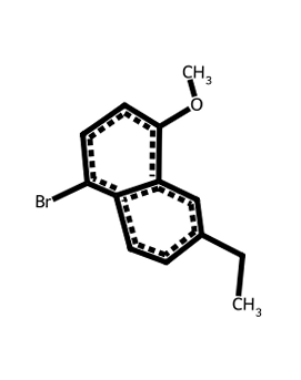 CCc1ccc2c(Br)ccc(OC)c2c1